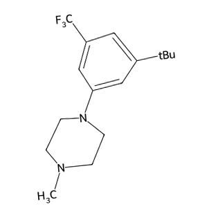 CN1CCN(c2cc(C(C)(C)C)cc(C(F)(F)F)c2)CC1